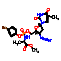 COC(=O)C(C)NP(=O)(OC[C@H]1O[C@@H](n2cc(C)c(=O)[nH]c2=O)CC1N=[N+]=[N-])Oc1ccc(Br)cc1